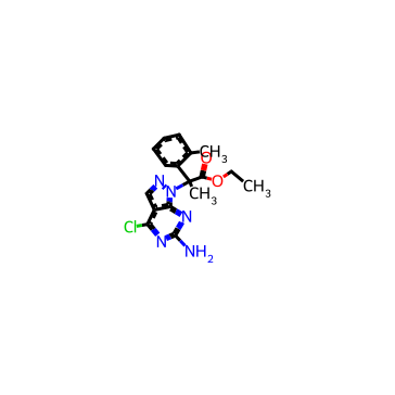 CCOC(=O)C(C)(c1ccccc1C)n1ncc2c(Cl)nc(N)nc21